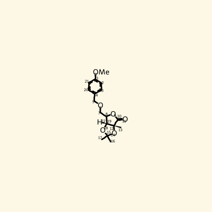 COc1ccc(COCC2OC(=O)[C@]3(C)OC(C)(C)O[C@H]23)cc1